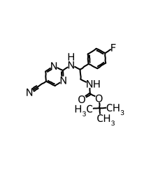 CC(C)(C)OC(=O)NCC(Nc1ncc(C#N)cn1)c1ccc(F)cc1